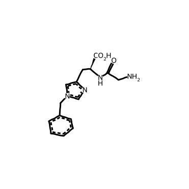 NCC(=O)N[C@@H](Cc1cn(Cc2ccccc2)cn1)C(=O)O